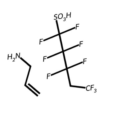 C=CCN.O=S(=O)(O)C(F)(F)C(F)(F)C(F)(F)CC(F)(F)F